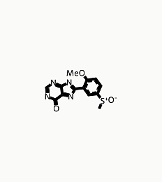 COc1ccc([S+](C)[O-])cc1C1=NC2=NC=NC(=O)C2=N1